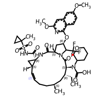 CC[C@@H]1C[C@@H](C)CC/C=C\[C@@H]2C[C@@]2(C(=O)NS(=O)(=O)C2(C)CC2)NC(=O)[C@@H]2C[C@@H](Oc3nc(OC)cc4cc(OC)ccc34)C(C(F)(F)F)N2C(=O)[C@H]1N(C(=O)O)C1CCCOC1